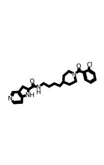 O=C(NCCCCC1CCN(C(=O)c2ccccc2Cl)CC1)C1Cc2cnccc2N1